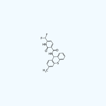 Cc1ccc2c(c1)Sc1ccccc1C2NC(=O)c1ccc(C(F)F)[nH]c1=O